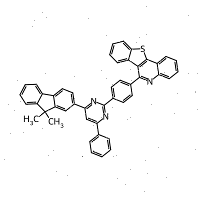 CC1(C)c2ccccc2-c2ccc(-c3cc(-c4ccccc4)nc(-c4ccc(-c5nc6ccccc6c6sc7ccccc7c56)cc4)n3)cc21